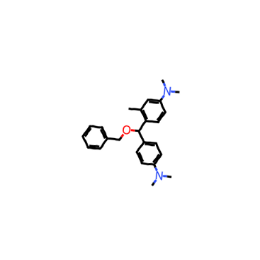 Cc1cc(N(C)C)ccc1C(OCc1ccccc1)c1ccc(N(C)C)cc1